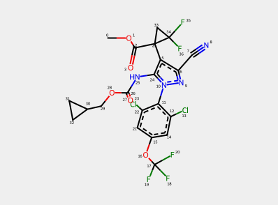 COC(=O)C1(c2c(C#N)nn(-c3c(Cl)cc(OC(F)(F)F)cc3Cl)c2NC(=O)OCC2CC2)CC1(F)F